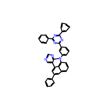 c1ccc(-c2cc3c4c(cccc4c2)N(c2cccc(-c4nc(-c5ccccc5)nc(-c5ccccc5)n4)c2)c2ncncc2-3)cc1